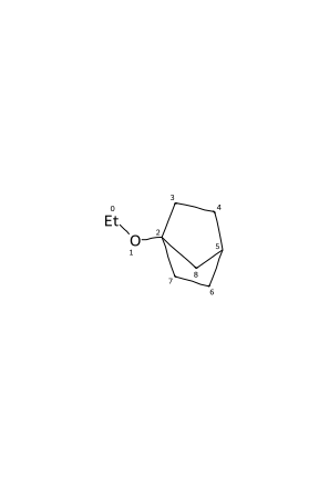 [CH2]COC12CCC(CC1)C2